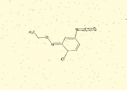 CCON=C1C=C(N=C=O)C=CC1Cl